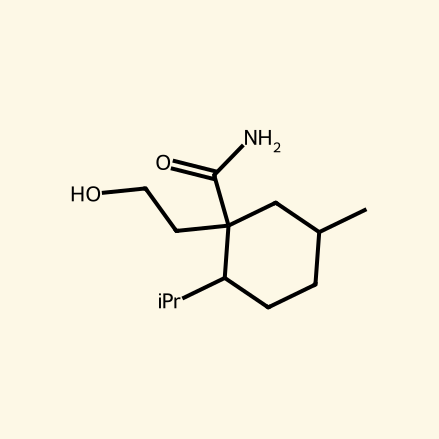 CC1CCC(C(C)C)C(CCO)(C(N)=O)C1